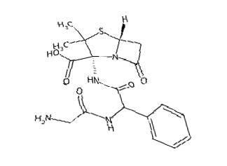 CC1(C)S[C@@H]2CC(=O)N2[C@@]1(NC(=O)C(NC(=O)CN)c1ccccc1)C(=O)O